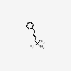 CC(C)(N)C/C=C/Cc1ccccc1